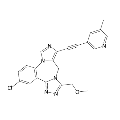 COCc1nnc2n1Cc1c(C#Cc3cncc(C)c3)ncn1-c1ccc(Cl)cc1-2